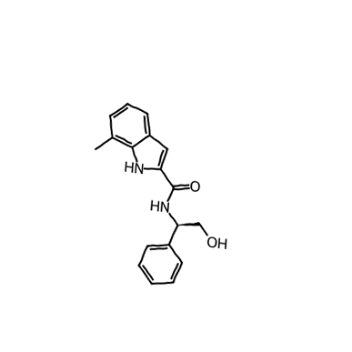 Cc1cccc2cc(C(=O)N[C@@H](CO)c3ccccc3)[nH]c12